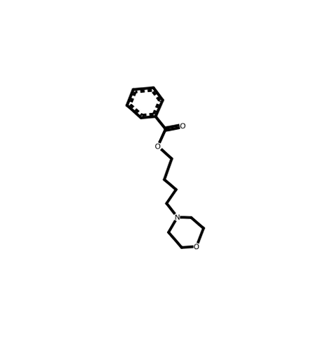 O=C(OCCCCN1CCOCC1)c1ccccc1